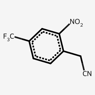 N#CCc1ccc(C(F)(F)F)cc1[N+](=O)[O-]